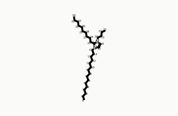 CCCCCCCCCCCCCCCCN1C=CN(CCCC)C1CCCCCCCCCC